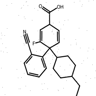 CCC1CCC(C2(c3ccccc3C#N)C=CC(C(=O)O)C=C2F)CC1